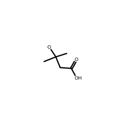 CC(C)([O])CC(=O)O